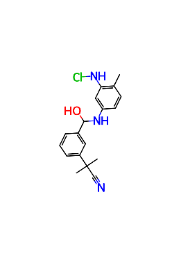 Cc1ccc(NC(O)c2cccc(C(C)(C)C#N)c2)cc1NCl